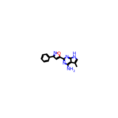 Cc1c[nH]c2nc(-c3cc(-c4ccccc4)no3)nc(N)c12